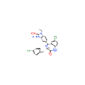 CCn1c(=O)[nH]c2cc(C3=N[C@@H](Cc4ccc(Cl)cc4)C(=O)Nc4ccc(Cl)cc43)ccc21